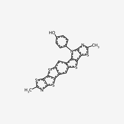 Cc1nc2sc3c4cc5sc6c7sc(C)nc7n(-c7ccc(O)cc7)c6c5cc4sc3c2s1